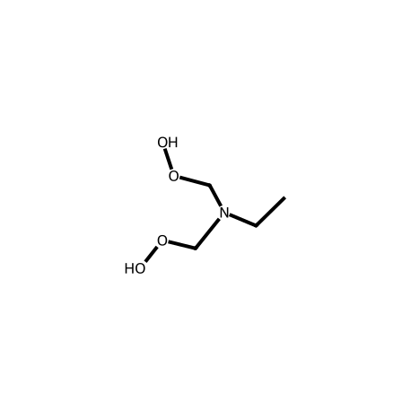 CCN(COO)COO